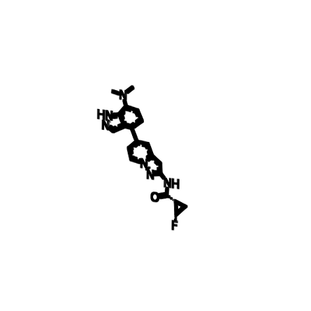 CN(C)c1ccc(-c2ccn3nc(NC(=O)[C@@H]4C[C@@H]4F)cc3c2)c2cn[nH]c12